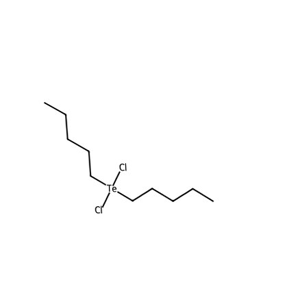 CCCCC[Te](Cl)(Cl)CCCCC